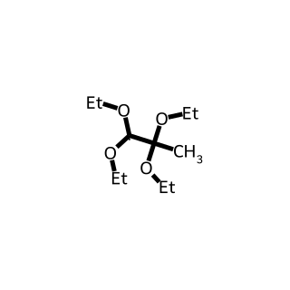 CCO[C](OCC)C(C)(OCC)OCC